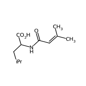 CC(C)=CC(=O)NC(CC(C)C)C(=O)O